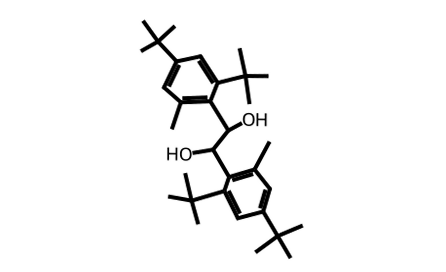 Cc1cc(C(C)(C)C)cc(C(C)(C)C)c1C(O)C(O)c1c(C)cc(C(C)(C)C)cc1C(C)(C)C